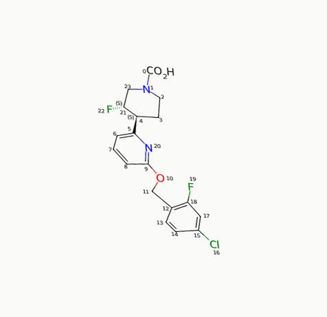 O=C(O)N1CC[C@@H](c2cccc(OCc3ccc(Cl)cc3F)n2)[C@H](F)C1